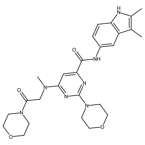 Cc1[nH]c2ccc(NC(=O)c3cc(N(C)CC(=O)N4CCOCC4)nc(N4CCOCC4)n3)cc2c1C